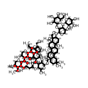 CC[C@H](C)[C@H](C[C@H](O)CC(=O)O[C@H]1C(C)O[C@@H](OC(=O)[C@]23CCC(C)(C)CC2C2=CCC4C5(C)CC[C@H](O[C@@H]6OC[C@@H](O)[C@H](O[C@@H]7OC[C@@H](O)[C@H](O)C7O)C6O[C@@H]6OC(CO)[C@H](O)[C@H](O)C6O)[C@](C)(C=O)[C@@H]5CC[C@]4(C)[C@]2(C)CC3O)C(O[C@@H]2OC(C)[C@H](O[C@@H]3OC[C@@H](O)C(O[C@@H]4OC[C@@H](O)C(O)C4O)C3O)C(O)C2O)C1O)OC(=O)C[C@@H](O)C[C@H](OC1(O)CO[C@H](CO)C1O)[C@@H](C)CC